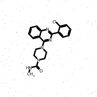 CNC(=O)N1CCN(c2nc(-c3ccccc3Cl)nc3ccccc23)CC1